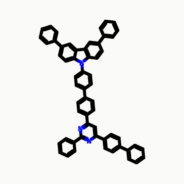 c1ccc(-c2ccc(-c3cc(-c4ccc(-c5ccc(-n6c7ccc(-c8ccccc8)cc7c7cc(-c8ccccc8)ccc76)cc5)cc4)nc(-c4ccccc4)n3)cc2)cc1